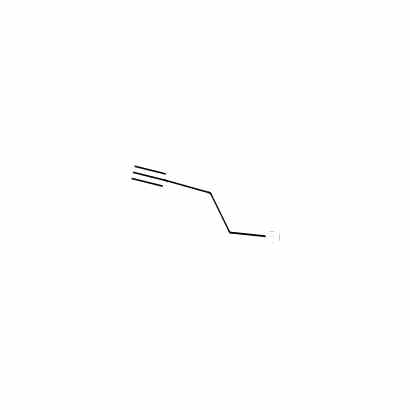 [C]#CCCC[CH]